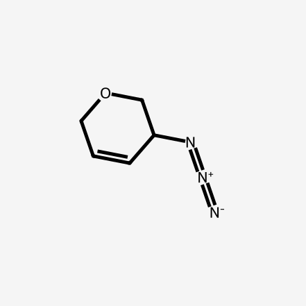 [N-]=[N+]=NC1C=CCOC1